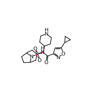 O=C(NC1CC2CCC(C1)N2S(=O)(=O)CC1CCNCC1)c1cc(C2CC2)on1